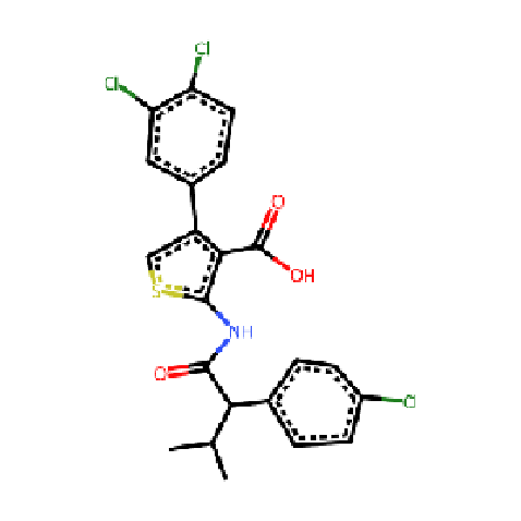 CC(C)C(C(=O)Nc1scc(-c2ccc(Cl)c(Cl)c2)c1C(=O)O)c1ccc(Cl)cc1